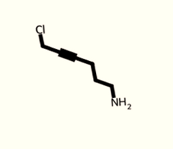 NCCCC#CCCl